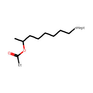 CCCCCCCCCCCCCC(C)OC(=O)CC